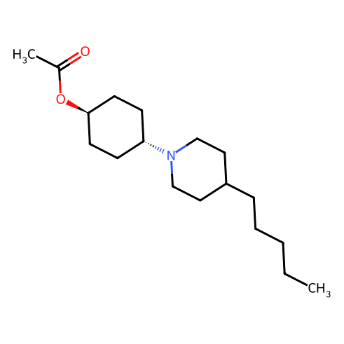 CCCCCC1CCN([C@H]2CC[C@H](OC(C)=O)CC2)CC1